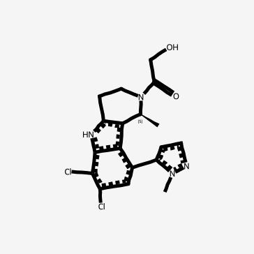 C[C@H]1c2c([nH]c3c(Cl)c(Cl)cc(-c4ccnn4C)c23)CCN1C(=O)CO